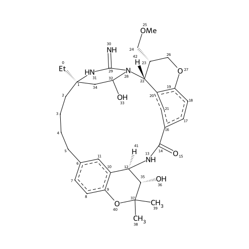 CC[C@]12CCCCc3ccc4c(c3)[C@@H](NC(=O)c3ccc5c(c3)[C@@H]([C@H](COC)CO5)N(C(=N)N1)C(O)C2)[C@H](O)C(C)(C)O4